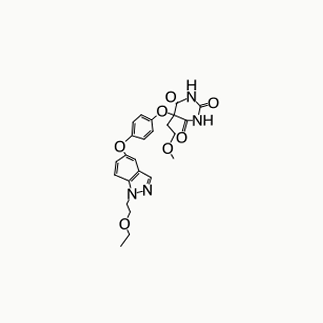 CCOCCn1ncc2cc(Oc3ccc(OC4(CCOC)C(=O)NC(=O)NC4=O)cc3)ccc21